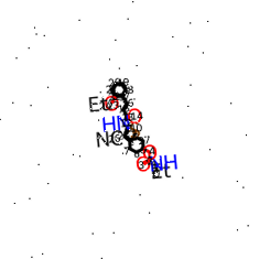 CCNC(=O)OC1CCc2c(sc(NC(=O)/C=C/c3ccccc3OCC)c2C#N)C1